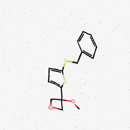 COC1(c2ccc(SCc3ccccc3)s2)COC1